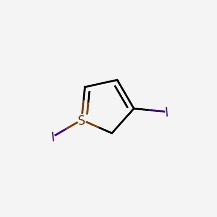 IC1=CC=S(I)C1